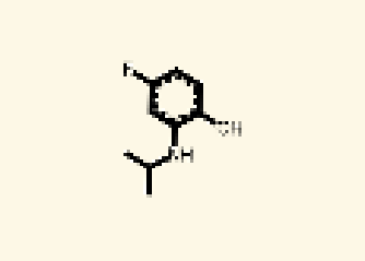 CC(C)Nc1cc(F)ccc1O